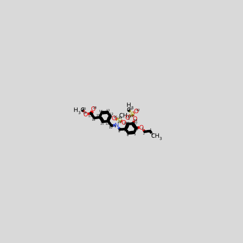 CCCOc1ccc(CN(Cc2cccc(CC(=O)OC)c2)S(C)(=O)=O)cc1OS(C)(=O)=O